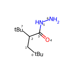 CC(C)(C)CC(C(=O)NN)C(C)(C)C